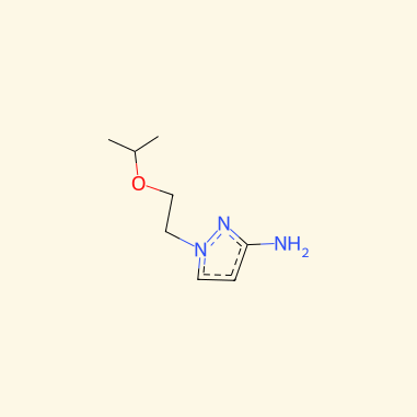 CC(C)OCCn1ccc(N)n1